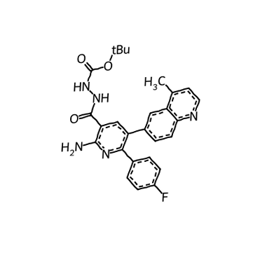 Cc1ccnc2ccc(-c3cc(C(=O)NNC(=O)OC(C)(C)C)c(N)nc3-c3ccc(F)cc3)cc12